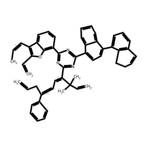 C=CC/C(=C\C=C(\c1nc(-c2ccc(-c3cccc4c3CCC=C4)c3ccccc23)nc(-c2cccc3c(/C=C\C)c(C=C)oc23)n1)C(C)(C)C=C)c1ccccc1